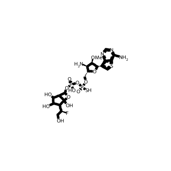 CO[C@@H]1[C@H](N)[C@@H](COP(=O)(S)OP(=O)(O)OC2OC3(O)C2C(O)C(O)C3[C@@H](F)CO)O[C@H]1c1csc2c(N)ncnc12